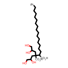 CC(C)CCCCCCCCCCCCCCCC(C(=O)O)C(CC(O)CO)(CC(O)CO)C(=O)O